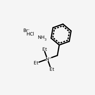 CC[N+](CC)(CC)Cc1ccccc1.Cl.N.[Br-]